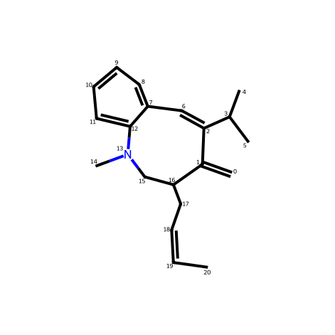 C=C1/C(C(C)C)=C\c2ccccc2N(C)CC1C/C=C\C